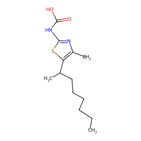 Bc1nc(NC(=O)O)sc1C(C)CCCCCC